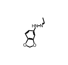 C/C=N\Nc1ccc2c(c1)OCO2